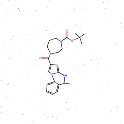 [CH2]C1Nc2cc(C(=O)N3CCCN(C(=O)OC(C)(C)C)CC3)cn2-c2ccccc21